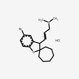 CN(C)C/C=C/C1c2cc(Br)ccc2OC12CCCCCC2.Cl